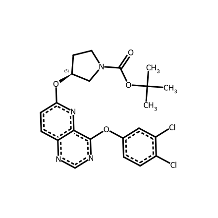 CC(C)(C)OC(=O)N1CC[C@H](Oc2ccc3ncnc(Oc4ccc(Cl)c(Cl)c4)c3n2)C1